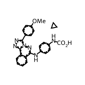 C1CC1.COc1ccc(-c2nnc3c4ccccc4c(Nc4ccc(NC(=O)O)cc4)nn23)cc1